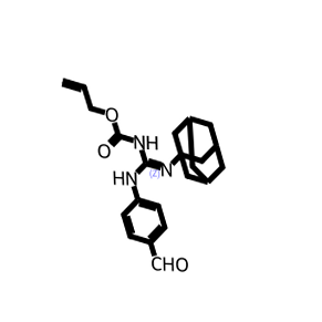 C=CCOC(=O)N/C(=N\C12CC3CC(CC(C3)C1)C2)Nc1ccc(C=O)cc1